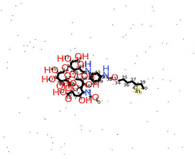 COC=NC1C(O)CC(OCC2OC(OC(C(O)CO)C(O)C(O)CNc3cccc(NCOCCCCC4CCSS4)c3)C(O)C(O)C2O)(C(=O)O)OC1C(O)C(O)CO